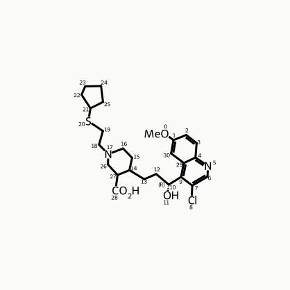 COc1ccc2ncc(Cl)c([C@H](O)CCC3CCN(CCSC4CCCC4)CC3C(=O)O)c2c1